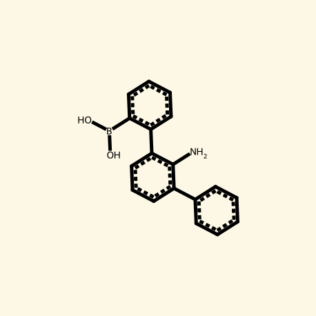 Nc1c(-c2ccccc2)cccc1-c1ccccc1B(O)O